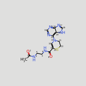 CC(=O)NCCNC(=O)C1=CN(c2ncnc3nc[nH]c23)CCS1